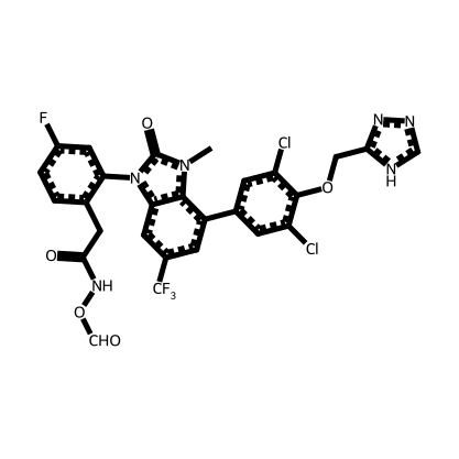 Cn1c(=O)n(-c2cc(F)ccc2CC(=O)NOC=O)c2cc(C(F)(F)F)cc(-c3cc(Cl)c(OCc4nnc[nH]4)c(Cl)c3)c21